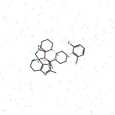 Cc1nc2c(s1)[C@]1(CCC2)CNC[C@H]1C(=O)N1CC[C@@H](c2c(F)cccc2F)C[C@H]1C1CCCCC1